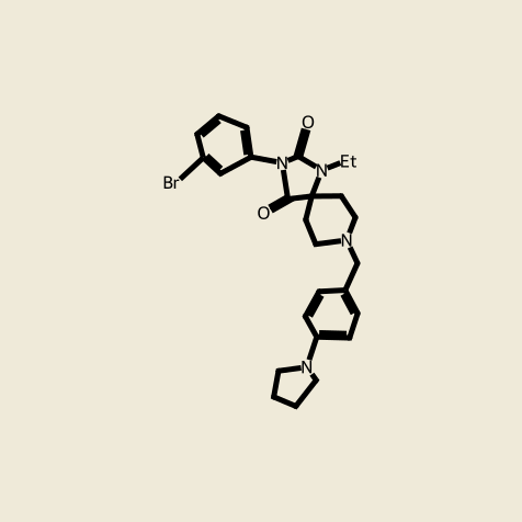 CCN1C(=O)N(c2cccc(Br)c2)C(=O)C12CCN(Cc1ccc(N3CCCC3)cc1)CC2